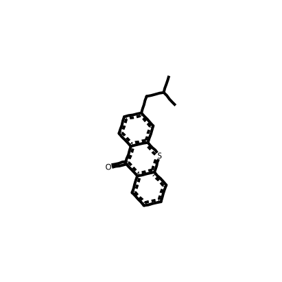 CC(C)Cc1ccc2c(=O)c3ccccc3sc2c1